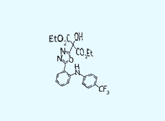 CCOC(=O)C(O)(C(=O)OCC)c1nnc(-c2ccccc2Nc2ccc(C(F)(F)F)cc2)o1